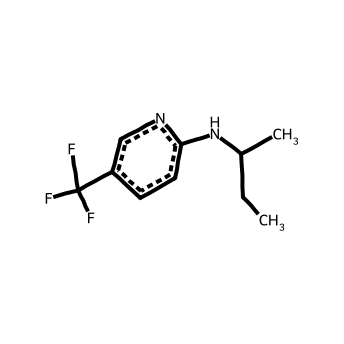 CCC(C)Nc1ccc(C(F)(F)F)cn1